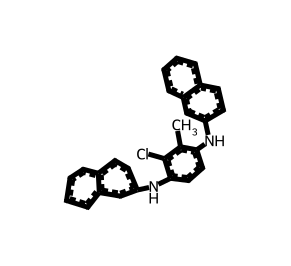 Cc1c(Nc2ccc3ccccc3c2)ccc(Nc2ccc3ccccc3c2)c1Cl